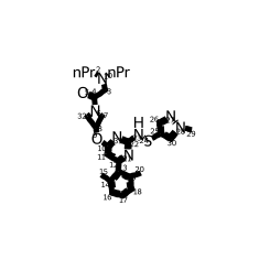 CCCN(CCC)CC(=O)N1CC(Oc2cc(-c3c(C)cccc3C)nc(NSc3cnn(C)c3)n2)C1